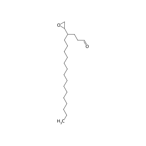 CCCCCCCCCCCCCCCC(CCC=O)C1CO1